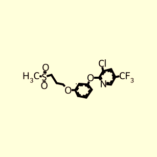 CS(=O)(=O)CCCOc1[c]c(Oc2ncc(C(F)(F)F)cc2Cl)ccc1